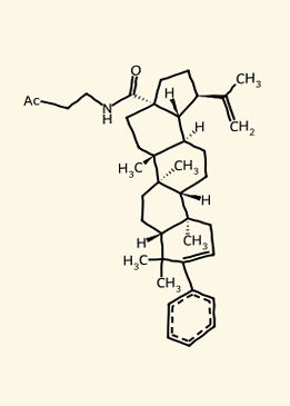 C=C(C)[C@@H]1CC[C@]2(C(=O)NCCC(C)=O)CC[C@]3(C)[C@H](CC[C@@H]4[C@@]5(C)CC=C(c6ccccc6)C(C)(C)[C@@H]5CC[C@]43C)[C@@H]12